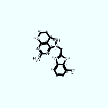 Nc1nc2c3c(n1)N(Cc1nc4cccc(Cl)c4s1)NC3CCS2